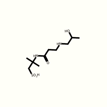 CC(O)CNCCC(=O)NC(C)(C)CS(=O)(=O)O